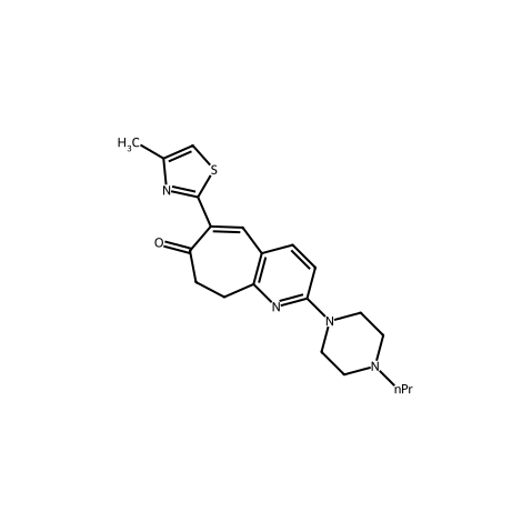 CCCN1CCN(c2ccc3c(n2)CCC(=O)C(c2nc(C)cs2)=C3)CC1